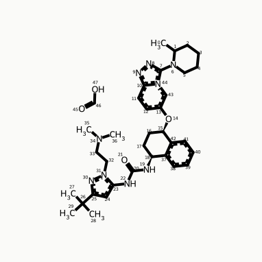 CC1CCCCN1c1nnc2ccc(O[C@@H]3CC[C@H](NC(=O)Nc4cc(C(C)(C)C)nn4CCN(C)C)c4ccccc43)cn12.O=CO